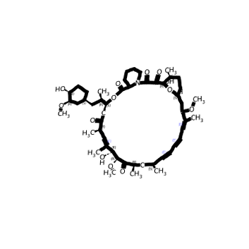 COC1C[C@@H]2CC[C@@H](C)[C@@](O)(O2)C(=O)C(=O)N2CCCCC2C(=O)O[C@H]([C@H](C)C[C@@H]2CC[C@@H](O)[C@H](OC)C2)CC(=O)[C@H](C)/C=C(\C)[C@@H](O)[C@@H](OC)C(=O)[C@H](C)C[C@H](C)/C=C/C=C/C=C/1C